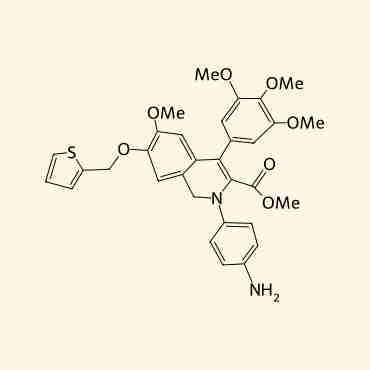 COC(=O)C1=C(c2cc(OC)c(OC)c(OC)c2)c2cc(OC)c(OCc3cccs3)cc2CN1c1ccc(N)cc1